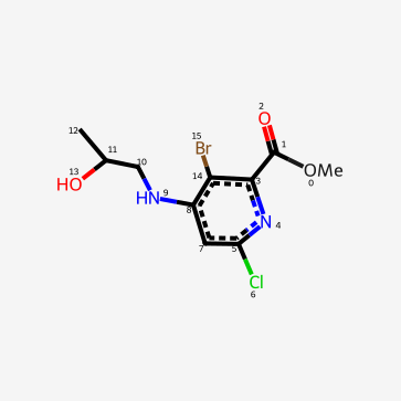 COC(=O)c1nc(Cl)cc(NCC(C)O)c1Br